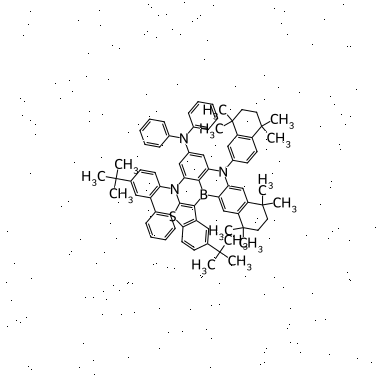 CC(C)(C)c1ccc(N2c3cc(N(c4ccccc4)c4ccccc4)cc4c3B(c3cc5c(cc3N4c3ccc4c(c3)C(C)(C)CCC4(C)C)C(C)(C)CCC5(C)C)c3c2sc2ccc(C(C)(C)C)cc32)c(-c2ccccc2)c1